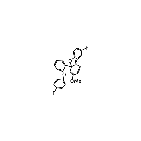 COC1=CC(Oc2ccc(F)cc2)(c2ccccc2Oc2ccc(F)cc2)C(Br)C=C1